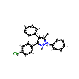 Cc1c(-c2ccccc2)c(-c2ccc(Cl)cc2)nn1-c1ccccc1